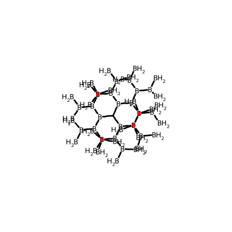 BB(B)B(B(B)B)B(B(B(B)B)B(B)B)B(B(B(B)B)B(B)B)C(B(B(B(B)B)B(B)B)B(B(B)B)B(B)B)B(B(B(B)B)B(B)B)B(B(B)B)B(B)B